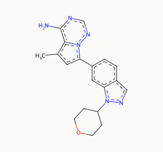 Cc1cc(-c2ccc3cnn(C4CCOCC4)c3c2)n2ncnc(N)c12